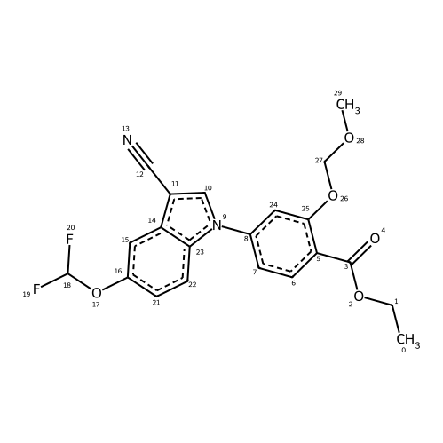 CCOC(=O)c1ccc(-n2cc(C#N)c3cc(OC(F)F)ccc32)cc1OCOC